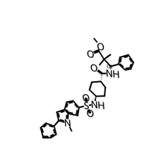 COC(=O)C(C)(C)[C@@H](NC(=O)[C@H]1CC[C@H](NS(=O)(=O)c2ccc3cc(-c4ccccc4)n(C)c3c2)CC1)c1ccccc1